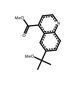 COC(=O)c1ccnc2ccc(C(C)(C)OC)cc12